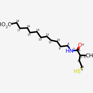 CC(CCS)C(=O)NCCCCCCCCCCCC(=O)O